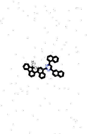 CC1(C)c2ccccc2-c2cccc(-c3ccc(-c4nc(-c5ccc6ccccc6c5)cc(-c5cccc6ccccc56)n4)c4ccccc34)c21